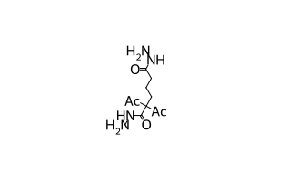 CC(=O)C(CCCC(=O)NN)(C(C)=O)C(=O)NN